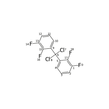 Fc1cccc(C(Cl)(Cl)c2cccc(F)c2F)c1F